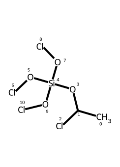 CC(Cl)O[Si](OCl)(OCl)OCl